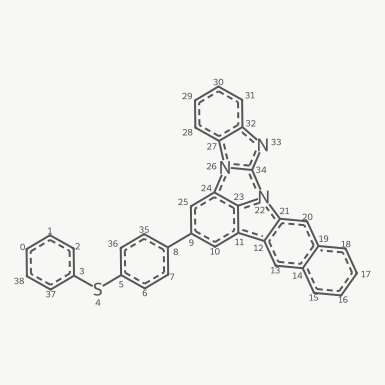 c1ccc(Sc2ccc(-c3cc4c5cc6ccccc6cc5n5c4c(c3)n3c4ccccc4nc35)cc2)cc1